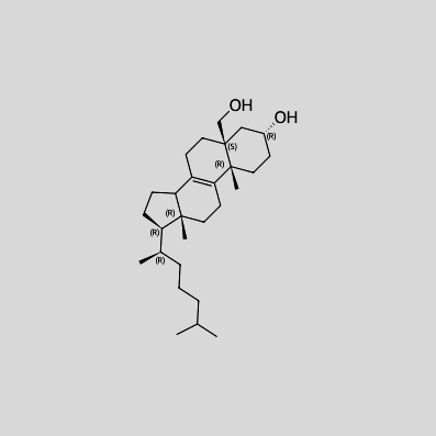 CC(C)CCC[C@@H](C)[C@H]1CCC2C3=C(CC[C@@]21C)[C@@]1(C)CC[C@@H](O)C[C@@]1(CO)CC3